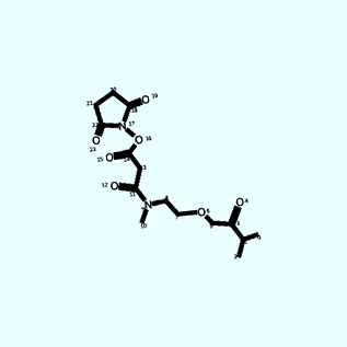 CC(C)C(=O)COCCN(C)C(=O)CC(=O)ON1C(=O)CCC1=O